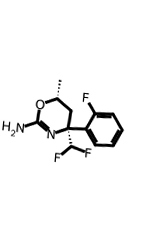 C[C@@H]1C[C@](c2ccccc2F)(C(F)F)N=C(N)O1